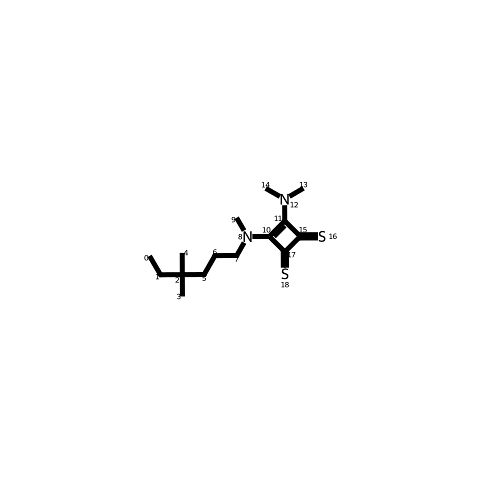 CCC(C)(C)CCCN(C)c1c(N(C)C)c(=S)c1=S